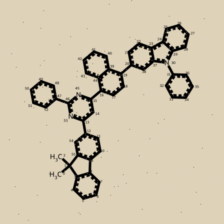 CC1(C)c2ccccc2-c2ccc(-c3cc(-c4ccc(-c5ccc6c7ccccc7n(-c7ccccc7)c6c5)c5ccccc45)nc(-c4ccccc4)n3)cc21